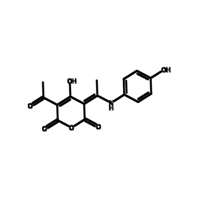 CC(=O)C1=C(O)/C(=C(\C)Nc2ccc(O)cc2)C(=O)OC1=O